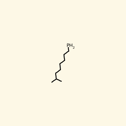 CC(C)CCCCCCP